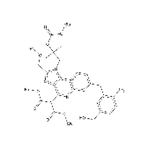 CCOCc1nc2c(N(C(=O)OC(C)(C)C)C(=O)OC(C)(C)C)nc3cc(Cc4cc(CO)ccc4C(F)(F)F)ccc3c2n1CC(C)(C)OC(=O)OC(C)(C)C